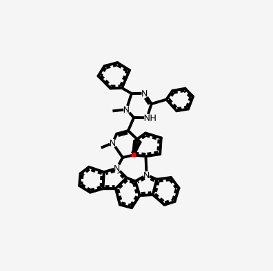 CN1C=C(C2NC(c3ccccc3)=NC(c3ccccc3)N2C)C=CC1n1c2ccccc2c2ccc3c4ccccc4n(-c4ccccc4)c3c21